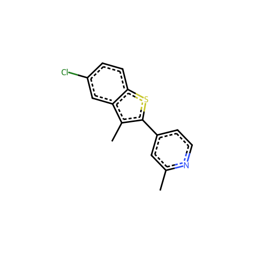 Cc1cc(-c2sc3ccc(Cl)cc3c2C)ccn1